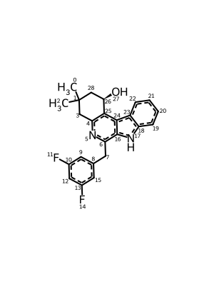 CC1(C)Cc2nc(Cc3cc(F)cc(F)c3)c3[nH]c4ccccc4c3c2[C@H](O)C1